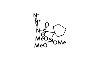 CO[Si](OC)(OC)C1(S(=O)(=O)N=[N+]=[N-])CCCCC1